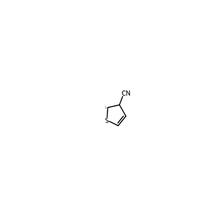 N#CC1[C]SC=C1